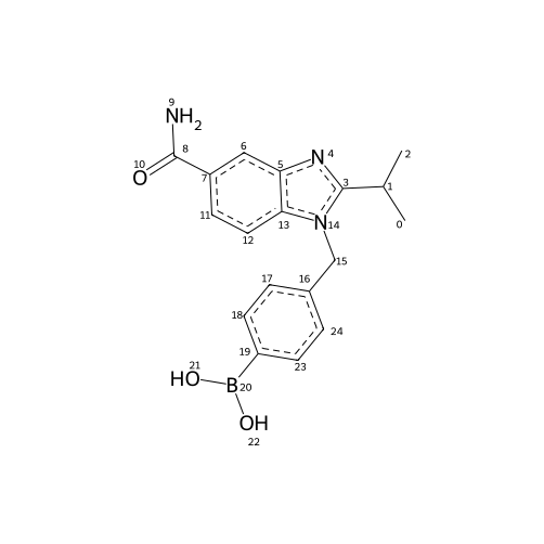 CC(C)c1nc2cc(C(N)=O)ccc2n1Cc1ccc(B(O)O)cc1